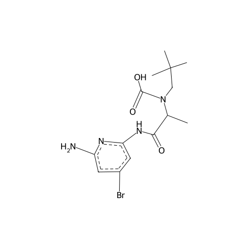 CC(C(=O)Nc1cc(Br)cc(N)n1)N(CC(C)(C)C)C(=O)O